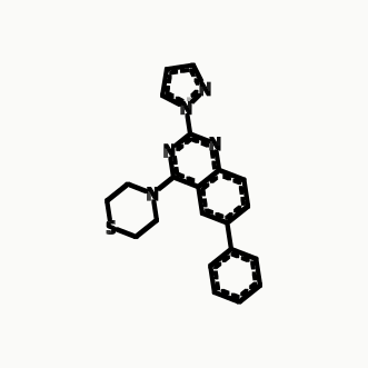 c1ccc(-c2ccc3nc(-n4cccn4)nc(N4CCSCC4)c3c2)cc1